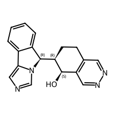 O[C@@H]1c2cnncc2CC[C@@H]1[C@@H]1c2ccccc2-c2cncn21